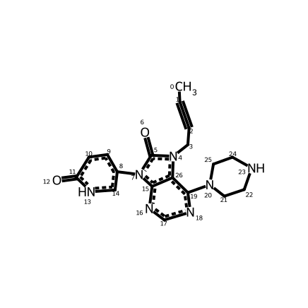 CC#CCn1c(=O)n(-c2ccc(=O)[nH]c2)c2ncnc(N3CCNCC3)c21